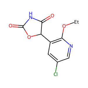 CCOc1ncc(Cl)cc1C1OC(=O)NC1=O